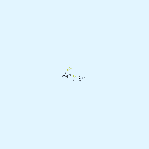 [Ca+2].[Mg+2].[S-2].[S-2]